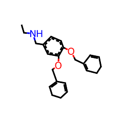 CCNCc1ccc(OCC2=CCCC=C2)c(OCC2=CCCC=C2)c1